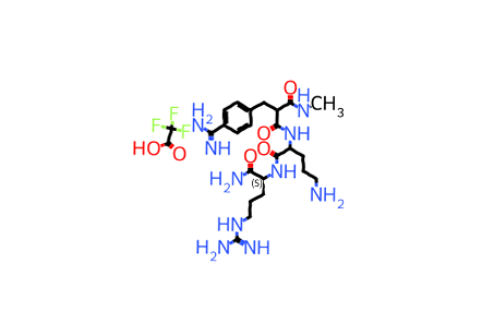 CNC(=O)C(Cc1ccc(C(=N)N)cc1)C(=O)NC(CCCN)C(=O)N[C@@H](CCCNC(=N)N)C(N)=O.O=C(O)C(F)(F)F